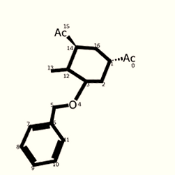 CC(=O)[C@@H]1CC(OCc2ccccc2)C(C)[C@@H](C(C)=O)C1